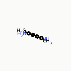 CCC(N)C1CCC(c2ccc(-c3ccc(C4CCC(NC)CC4)cc3)cc2)CC1